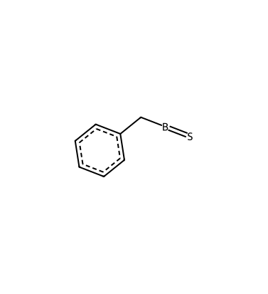 S=BCc1ccccc1